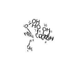 CCCCOO.CO.CO.O=C(O)O.O=C(O)O